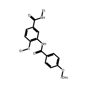 CCCCCCCCCCOc1ccc(C(=O)Nc2cc(C(=O)NCC)ccc2SCC)cc1